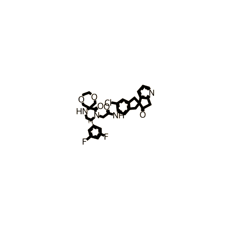 O=C(CN1C(=O)C2(COCCOC2)NC[C@H]1c1cc(F)cc(F)c1)Nc1cc2c(cc1Cl)CC1(C2)C(=O)Cc2ncccc21